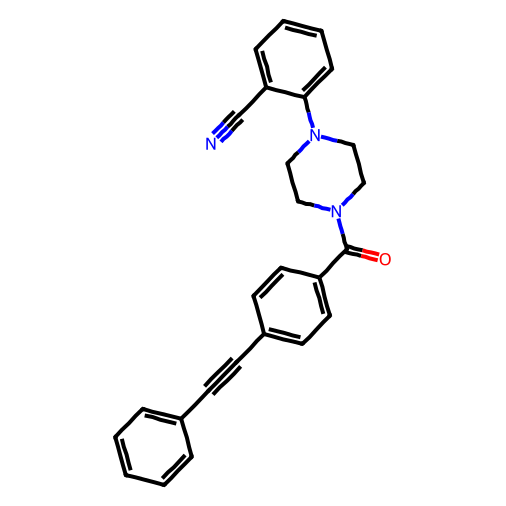 N#Cc1ccccc1N1CCN(C(=O)c2ccc(C#Cc3ccccc3)cc2)CC1